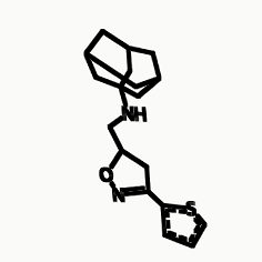 c1csc(C2=NOC(CNC34CC5CC(CC(C5)C3)C4)C2)c1